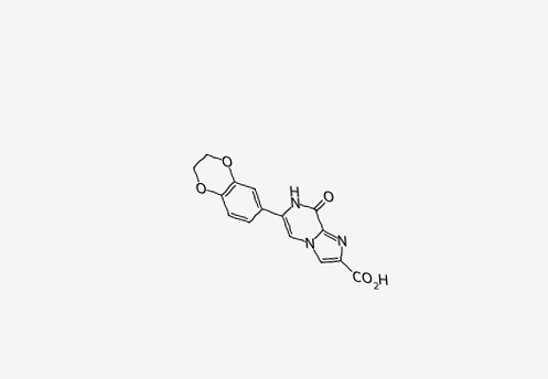 O=C(O)c1cn2cc(-c3ccc4c(c3)OCCO4)[nH]c(=O)c2n1